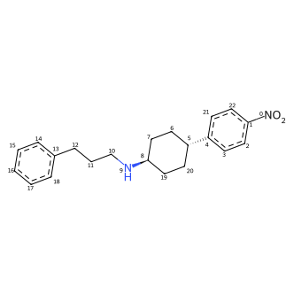 O=[N+]([O-])c1ccc([C@H]2CC[C@H](NCCCc3ccccc3)CC2)cc1